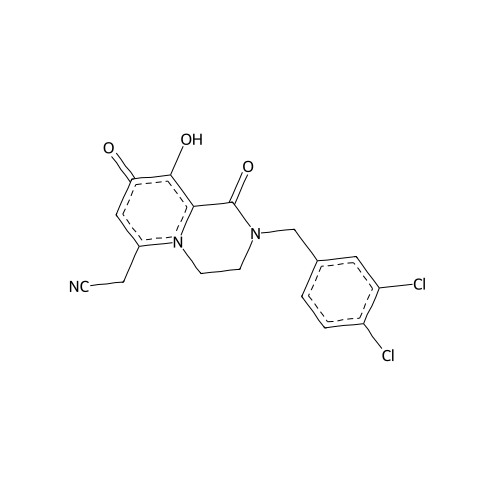 N#CCc1cc(=O)c(O)c2n1CCN(Cc1ccc(Cl)c(Cl)c1)C2=O